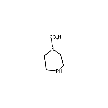 O=C(O)N1CCPCC1